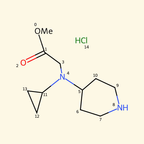 COC(=O)CN(C1CCNCC1)C1CC1.Cl